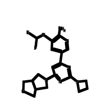 Nc1ncc(-c2cc(N3CC4COCC4C3)nc(N3CCC3)n2)cc1OC(F)F